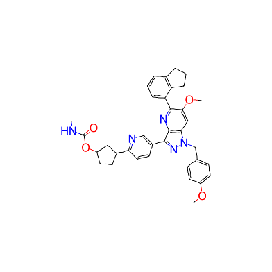 CNC(=O)OC1CCC(c2ccc(-c3nn(Cc4ccc(OC)cc4)c4cc(OC)c(-c5cccc6c5CCC6)nc34)cn2)C1